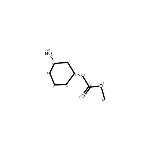 COC(=O)C[C@@H]1CCC[C@H](O)C1